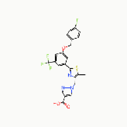 Cc1sc(-c2cc(OCc3ccc(F)cc3)cc(C(F)(F)F)c2)nc1Cn1cc(C(=O)O)cn1